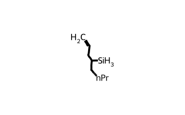 C=CCC([SiH3])CCCC